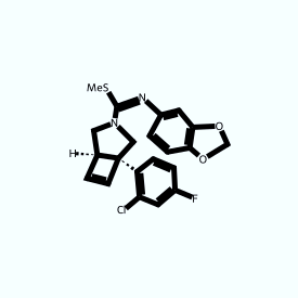 CS/C(=N/c1ccc2c(c1)OCO2)N1C[C@@H]2C=C[C@]2(c2ccc(F)cc2Cl)C1